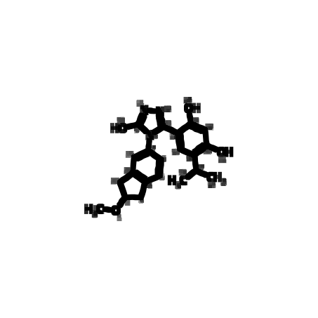 COC1Cc2ccc(-n3c(O)nnc3-c3cc(C(C)C)c(O)cc3O)cc2C1